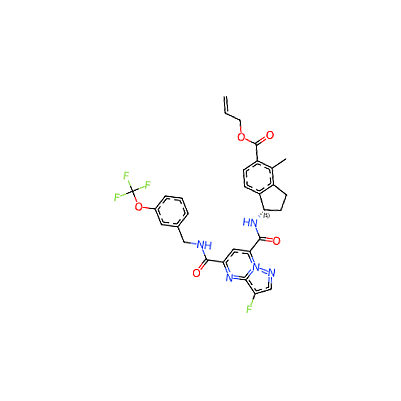 C=CCOC(=O)c1ccc2c(c1C)CC[C@@H]2NC(=O)c1cc(C(=O)NCc2cccc(OC(F)(F)F)c2)nc2c(F)cnn12